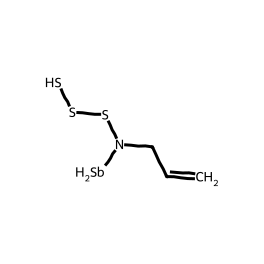 C=CC[N]([SbH2])SSS